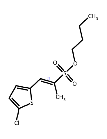 CCCCOS(=O)(=O)/C(C)=C/c1ccc(Cl)s1